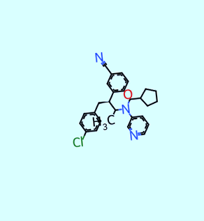 CC([C@@H](Cc1ccc(Cl)cc1)c1cccc(C#N)c1)N(C(=O)C1CCCC1)c1cccnc1